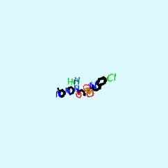 Cc1cc(N2CCC(NC(=O)CC(C)S(=O)(=O)c3ccc4cc(Cl)ccc4n3)CC2)ccn1.Cl